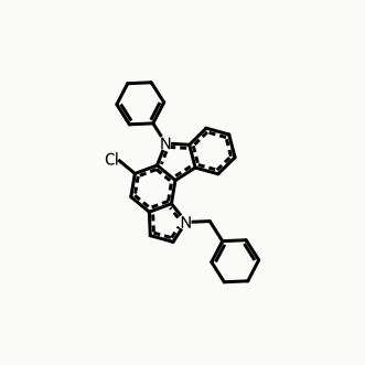 Clc1cc2ccn(CC3=CCCC=C3)c2c2c3ccccc3n(C3=CCCC=C3)c12